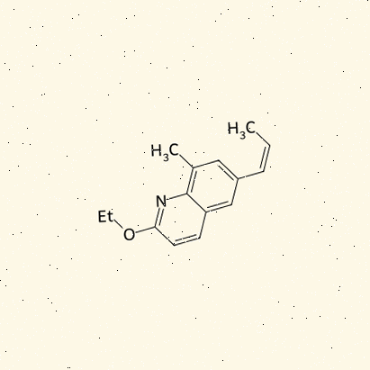 C/C=C\c1cc(C)c2nc(OCC)ccc2c1